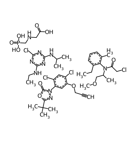 C#CCOc1cc(-n2nc(C(C)(C)C)oc2=O)c(Cl)cc1Cl.CCNc1nc(Cl)nc(NC(C)C)n1.CCc1cccc(C)c1N(C(=O)CCl)C(C)COC.O=C(O)CNCP(=O)(O)O